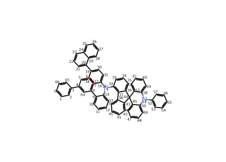 c1ccc(-c2cccc(-c3ccccc3N(c3ccc(-c4cccc5ccccc45)cc3)c3cccc4c3-c3ccccc3C43c4ccccc4N(c4ccccc4)c4ccccc43)c2)cc1